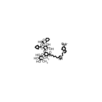 CC1O[C@@H](OC2[C@H](C)CC(C(=O)NCCCCc3cn(CCn4ccc5cc([N+](=O)[O-])ccc54)nn3)C[C@H]2O[C@@H]2O[C@@H](CO)[C@H](O)C(O[C@@H](CC3CCCCC3)C(=O)O)C2OC(=O)c2ccccc2)[C@@H](O)C(O)[C@@H]1O